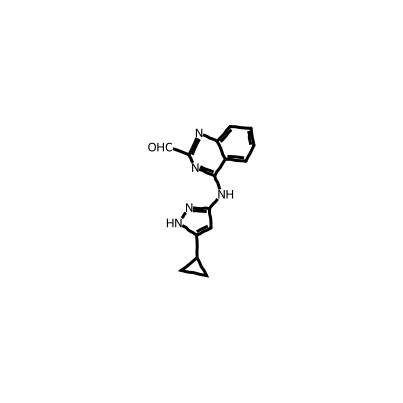 O=Cc1nc(Nc2cc(C3CC3)[nH]n2)c2ccccc2n1